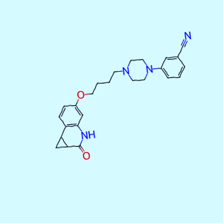 N#Cc1cccc(N2CCN(CCCCOc3ccc4c(c3)NC(=O)C3CC43)CC2)c1